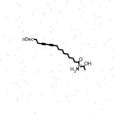 CCCCCCCCCCCCC#CC#CCCCCCCCCC(=O)N(N)C(C)O